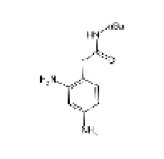 CCCCNC(=O)Cc1ccc(N)cc1N